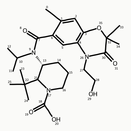 Cc1cc2c(cc1C(=O)N(C(C)C)[C@@H]1CCCN(C(=O)O)C1C(C)(C)C)N(CCO)C(=O)C(C)(C)O2